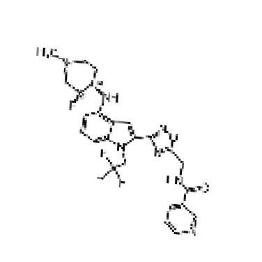 CN1CC[C@@H](Nc2cccc3c2cc(-c2noc(CNC(=O)c4cccnc4)n2)n3CC(F)(F)F)[C@@H](F)C1